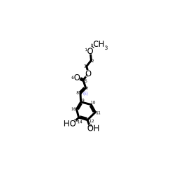 COCCOC(=O)/C=C/c1ccc(O)c(O)c1